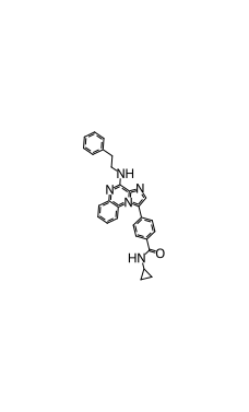 O=C(NC1CC1)c1ccc(-c2cnc3c(NCCc4ccccc4)nc4ccccc4n23)cc1